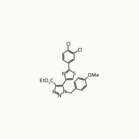 CCOC(=O)c1nnn(Cc2ccc(OC)cc2)c1-c1csc(-c2ccc(Cl)c(Cl)c2)n1